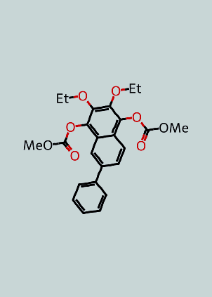 CCOc1c(OCC)c(OC(=O)OC)c2cc(-c3ccccc3)ccc2c1OC(=O)OC